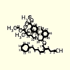 C#CC/C=C(\C=C/CCCC1=CC=CC=CC1)COC(CN(CCCC(C)(C)C(=O)OCC)Cc1ccc(C(=O)OC)cc1)c1cccc(Cl)c1